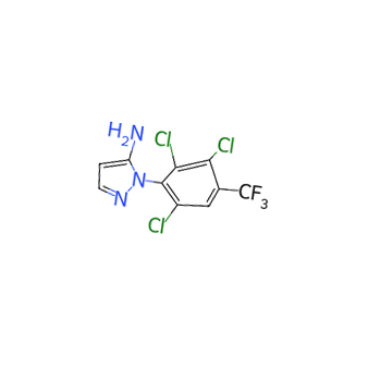 Nc1ccnn1-c1c(Cl)cc(C(F)(F)F)c(Cl)c1Cl